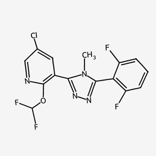 Cn1c(-c2cc(Cl)cnc2OC(F)F)nnc1-c1c(F)cccc1F